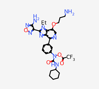 CCn1c(-c2nonc2N)nc2c(-c3cccc(N(OC(=O)C(F)(F)F)C(=O)NC4CCCCC4)c3)ncc(OCCCN)c21